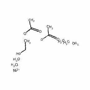 CC(=O)[O-].CC(=O)[O-].CCO.O.O.O.O.O.[Ni+2]